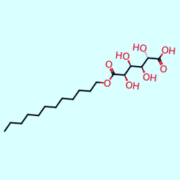 CCCCCCCCCCCCOC(=O)[C@H](O)[C@@H](O)[C@H](O)[C@H](O)C(=O)O